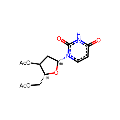 CC(=O)OC[C@H]1O[C@@H](n2ccc(=O)[nH]c2=O)CC1OC(C)=O